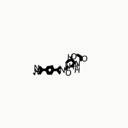 Cn1cc(-c2ccc(C3CN(C(=O)N4CC[C@@H]5OCC6OC6N[C@@H]5C4)C3)cc2)cn1